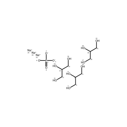 O=P([O-])([O-])[O-].OCC(O)CO.OCC(O)CO.OCC(O)CO.[Na+].[Na+].[Na+]